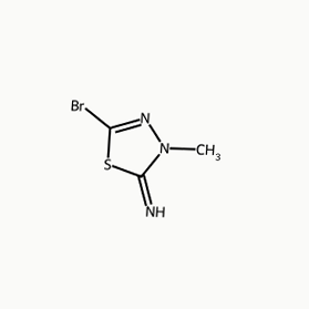 Cn1nc(Br)sc1=N